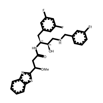 CCc1cccc(CNC[C@@H](O)[C@H](Cc2cc(F)cc(F)c2)NC(=O)CC(OC)c2nc3ccccc3s2)c1